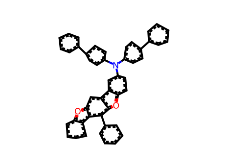 c1ccc(-c2ccc(N(c3ccc(-c4ccccc4)cc3)c3ccc4oc5c(-c6ccccc6)c6c(cc5c4c3)oc3ccccc36)cc2)cc1